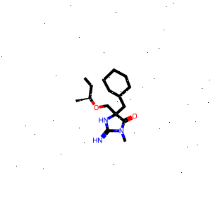 CC[C@H](C)OCC1(CC2CCCCC2)NC(=N)N(C)C1=O